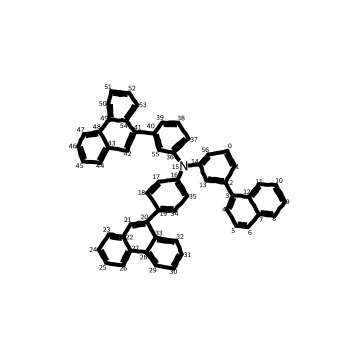 c1cc(-c2cccc3ccccc23)cc(N(c2ccc(-c3cc4ccccc4c4ccccc34)cc2)c2cccc(-c3cc4ccccc4c4ccccc34)c2)c1